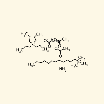 CC(=O)O.CC(=O)[O-].CC(=O)[O-].CCCCCCCCCCCC[N+](C)(C)C.CCC[N+](CCC)(CCC)CCC.N